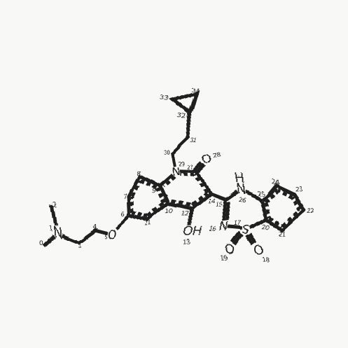 CN(C)CCOc1ccc2c(c1)c(O)c(C1=NS(=O)(=O)c3ccccc3N1)c(=O)n2CCC1CC1